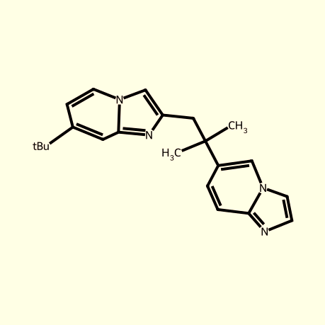 CC(C)(C)c1ccn2cc(CC(C)(C)c3ccc4nccn4c3)nc2c1